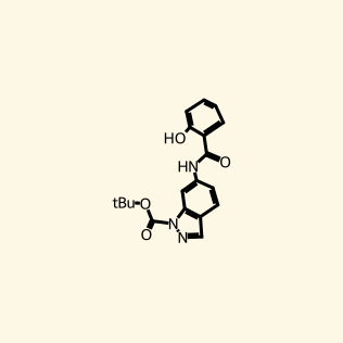 CC(C)(C)OC(=O)n1ncc2ccc(NC(=O)c3ccccc3O)cc21